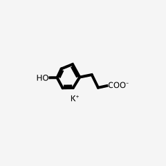 O=C([O-])CCc1ccc(O)cc1.[K+]